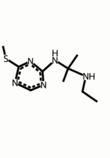 CCNC(C)(C)Nc1ncnc(SC)n1